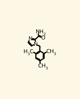 Cc1cc(C)c(Cn2ccnc2C(N)=O)c(C)c1